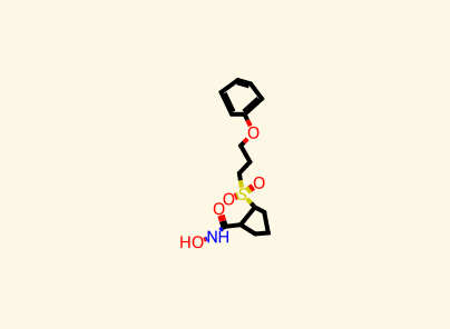 O=C(NO)C1CCCC1S(=O)(=O)CCCOc1ccccc1